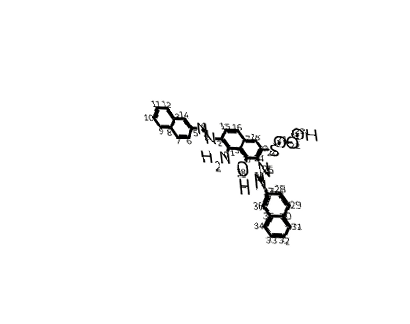 Nc1c(N=Nc2ccc3ccccc3c2)ccc2cc(SOOO)c(N=Nc3ccc4ccccc4c3)c(O)c12